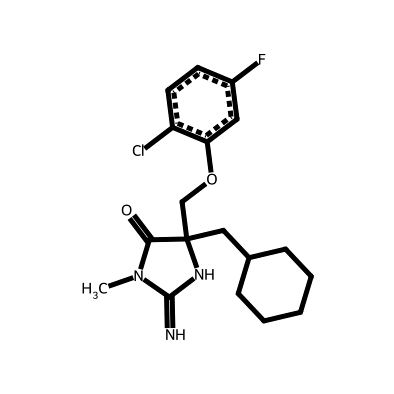 CN1C(=N)NC(COc2cc(F)ccc2Cl)(CC2CCCCC2)C1=O